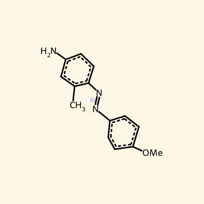 COc1ccc(/N=N/c2ccc(N)cc2C)cc1